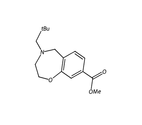 COC(=O)c1ccc2c(c1)OCCN(CC(C)(C)C)C2